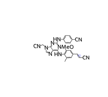 [C-]#[N+]Cn1cnc2c(Nc3c(C)cc(/C=C/C#N)cc3OC)nc(Nc3ccc(C#N)cc3)nc21